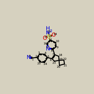 N#Cc1ccc(C2=C(c3ccc(S(N)(=O)=O)cn3)CC3(CCC3)C2)cc1